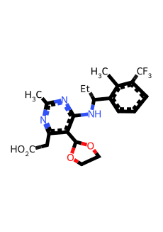 CCC(Nc1nc(C)nc(CC(=O)O)c1C1OCCO1)c1cccc(C(F)(F)F)c1C